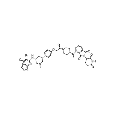 CN1C[C@H](Nc2nc3sccn3c(=O)c2Br)C[C@H](c2ccc(OCC(=O)N3CCC(N(C)c4cccc5c4C(=O)N(C4CCC(=O)NC4=O)C5=O)CC3)cc2)C1